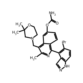 Cc1nc(-c2c(C(C)C)ccc3[nH]ncc23)c2ccc(OC(N)=O)cc2c1CN1CCOC(C)(C)C1